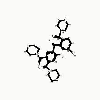 O=C(c1cc(C(=O)N2CCOCC2)c(C(=O)N2CCOCC2)cc1Cl)c1cc(Cl)ccc1C(=O)N1CCOCC1